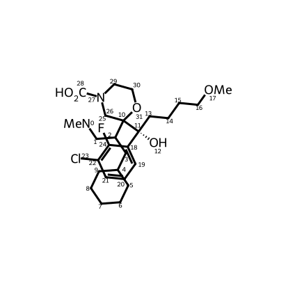 CNCC(CC1CCCCC1)C1([C@@](O)(CCCCOC)c2cccc(Cl)c2F)CN(C(=O)O)CCO1